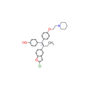 CC/C(=C(/c1ccc(O)cc1)c1ccc(OCCN2CCCCC2)cc1)c1ccc2oc(Cl)cc2c1